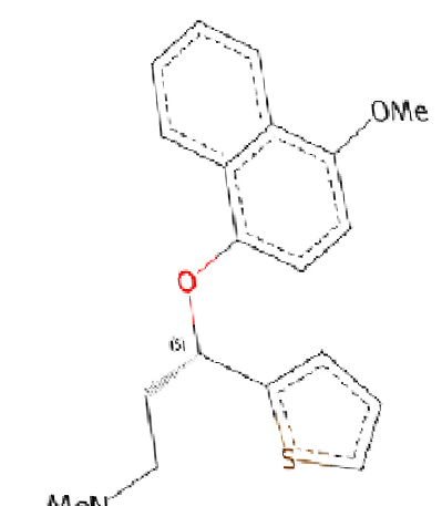 CNCC[C@H](Oc1ccc(OC)c2ccccc12)c1cccs1